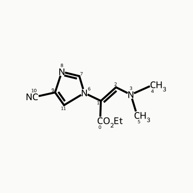 CCOC(=O)/C(=C\N(C)C)n1cnc(C#N)c1